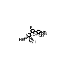 CN1CCN(c2ccc(-c3cc(F)cc(-c4cnc(CCO)c(N5CCNCC5)c4)c3O)cc2Cl)C1=O